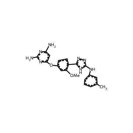 COc1cc(Oc2cc(N)nc(N)n2)ccc1-c1nnc(Nc2cccc(C)c2)[nH]1